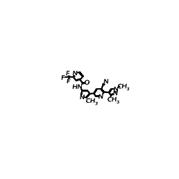 Cc1ncc(NC(=O)c2ccnc(C(F)(F)F)c2)cc1-c1cnc(-c2cn(C)nc2C)c(C#N)c1